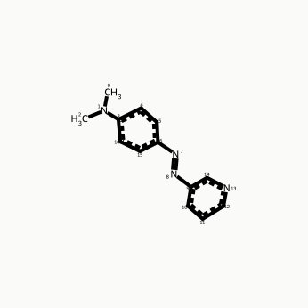 CN(C)c1ccc(N=Nc2cccnc2)cc1